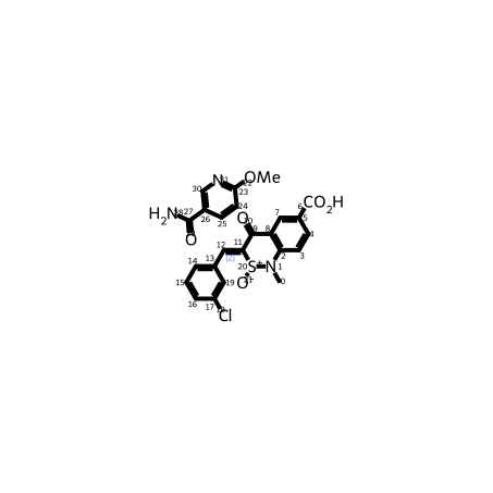 CN1c2ccc(C(=O)O)cc2C(=O)/C(=C/c2cccc(Cl)c2)[S+]1[O-].COc1ccc(C(N)=O)cn1